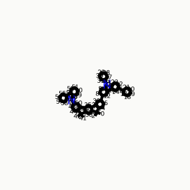 CC1(C)c2ccc(-c3ccc4c(c3)c3cc(-c5ccccc5)ccc3n4-c3ccccc3)cc2-c2cc3c(cc21)C(C)(C)c1ccc(-n2c4ccccc4c4ccccc42)cc1-3